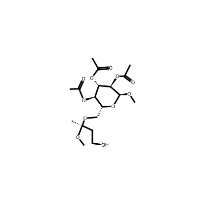 CO[C@H]1O[C@H](CO[C@@](C)(CCO)OC)[C@@H](OC(C)=O)[C@H](OC(C)=O)[C@H]1OC(C)=O